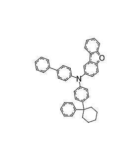 c1ccc(-c2ccc(N(c3ccc(C4(c5ccccc5)CCCCC4)cc3)c3ccc4oc5ccccc5c4c3)cc2)cc1